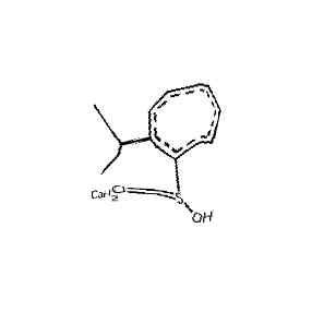 CC(C)c1ccccc1S(=O)O.[CaH2]